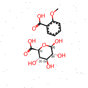 COc1ccccc1C(=O)O.O=C(O)[C@H]1O[C@@H](O)[C@H](O)[C@@H](O)[C@@H]1O